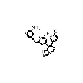 Cc1cc(C2=C(c3ccc(Cl)cc3)OCn3cnnc32)cc(CF)n1.Nc1cccnc1